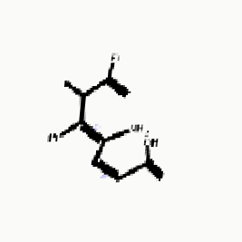 C=C(O)/C=C\C(N)=C(/C(C)C)C(C)C(=C)CC